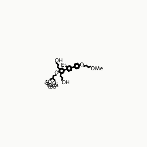 CCc1cc(-c2ccc(OCCCCOC)cc2)ccc1-c1cc(CCCO)c(OCCC(CO[Si](C)(C)C(C)(C)C)CO[Si](C)(C)C(C)(C)C)c(CCCO)c1